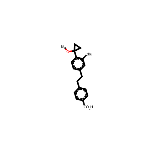 CCOC1(c2ccc(CCc3ccc(C(=O)O)cc3)cc2C(C)(C)C)CC1